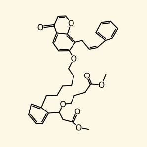 COC(=O)CCCOC(CC(=O)OC)c1ccccc1CCCCCCOc1ccc2c(=O)ccoc2c1CC=Cc1ccccc1